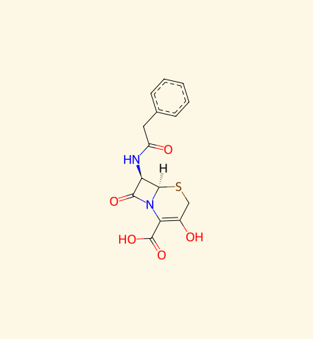 O=C(Cc1ccccc1)N[C@@H]1C(=O)N2C(C(=O)O)=C(O)CS[C@H]12